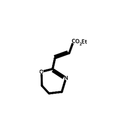 CCOC(=O)/C=C/C1=NCCCO1